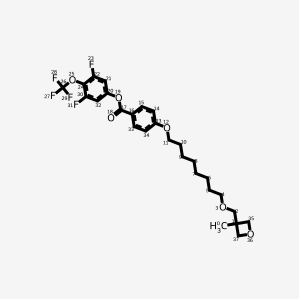 CC1(COCCCCCCCCOc2ccc(C(=O)Oc3cc(F)c(OC(F)(F)F)c(F)c3)cc2)COC1